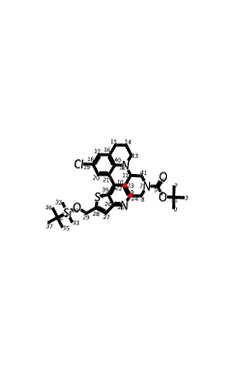 CC(C)(C)OC(=O)N1CCCC(N2CCCc3cc(Cl)cc(-c4ccnc5cc(CO[Si](C)(C)C(C)(C)C)sc45)c32)C1